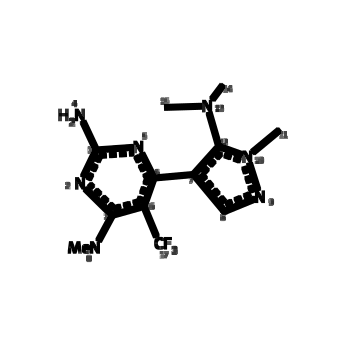 CNc1nc(N)nc(-c2cnn(C)c2N(C)C)c1C(F)(F)F